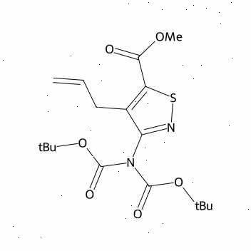 C=CCc1c(N(C(=O)OC(C)(C)C)C(=O)OC(C)(C)C)nsc1C(=O)OC